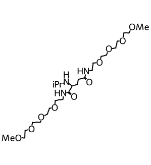 COCCOCCOCCOCCNC(=O)CC[C@H](NC(C)C)C(=O)NCCOCCOCCOCCOC